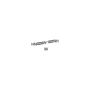 N=[N+]=N.[W]